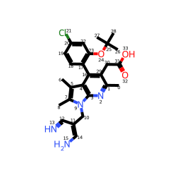 Cc1nc2c(c(C)c(C)n2C/C(C=N)=C/N)c(-c2ccc(Cl)cc2OC(C)(C)C)c1CC(=O)O